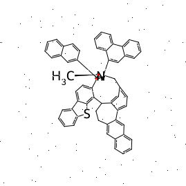 C[C@@H]1C/C=C2/C(=C(c3cc4ccccc4c4ccccc34)\N=C/1c1ccc3ccccc3c1)Cc1ccc3c(c1)C(CCc1cc4ccccc4cc1-3)c1c2ccc2c1sc1ccccc12